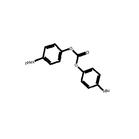 CCCCCCc1ccc(OC(=O)Oc2ccc(CCCC)cc2)cc1